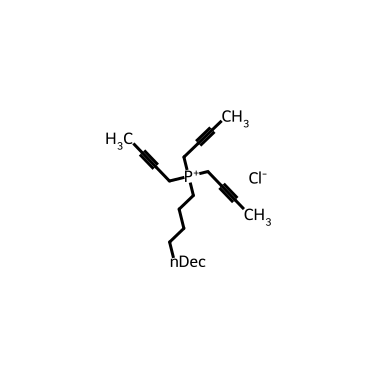 CC#CC[P+](CC#CC)(CC#CC)CCCCCCCCCCCCCC.[Cl-]